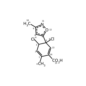 CC1=CC(Cl)C(Cl)(c2cc(C)no2)C=C1C(=O)O